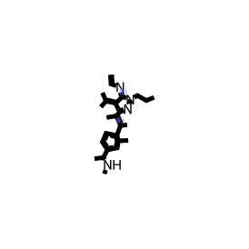 C=C/N=C1\C(=C(C)C)C(/C(C)=C(\C)c2ccc(C(C)NC)cc2C)=NN1CCC